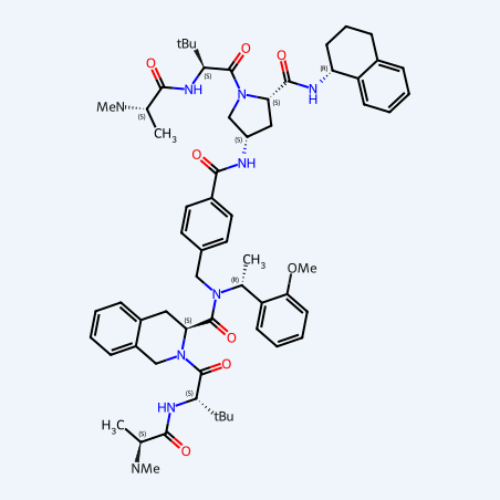 CN[C@@H](C)C(=O)N[C@H](C(=O)N1C[C@@H](NC(=O)c2ccc(CN(C(=O)[C@@H]3Cc4ccccc4CN3C(=O)[C@@H](NC(=O)[C@H](C)NC)C(C)(C)C)[C@H](C)c3ccccc3OC)cc2)C[C@H]1C(=O)N[C@@H]1CCCc2ccccc21)C(C)(C)C